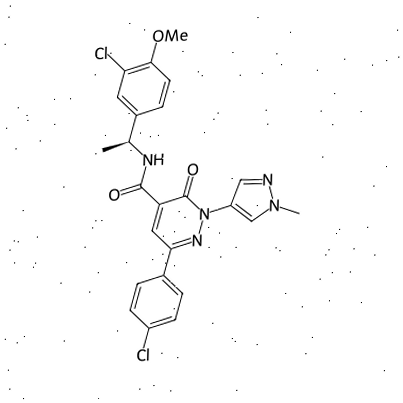 COc1ccc([C@H](C)NC(=O)c2cc(-c3ccc(Cl)cc3)nn(-c3cnn(C)c3)c2=O)cc1Cl